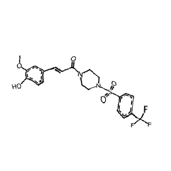 COc1cc(/C=C/C(=O)N2CCN(S(=O)(=O)c3ccc(C(F)(F)F)cc3)CC2)ccc1O